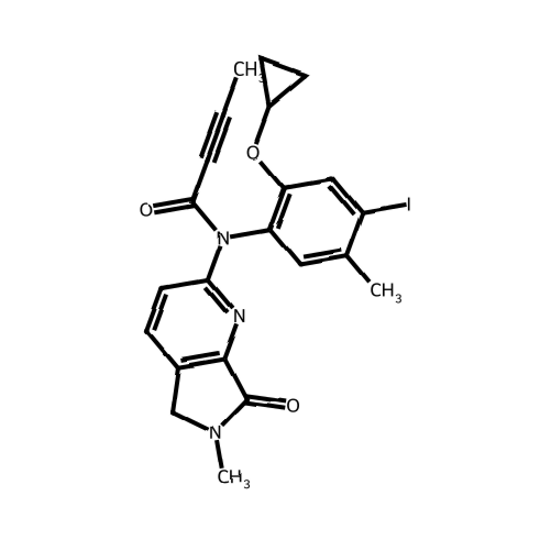 CC#CC(=O)N(c1ccc2c(n1)C(=O)N(C)C2)c1cc(C)c(I)cc1OC1CC1